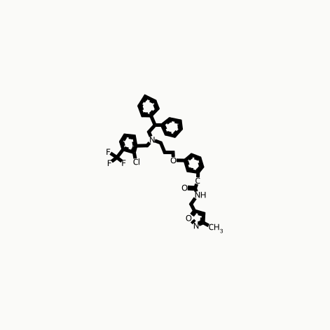 Cc1cc(CNC(=O)Cc2cccc(OCCCN(Cc3cccc(C(F)(F)F)c3Cl)CC(c3ccccc3)c3ccccc3)c2)on1